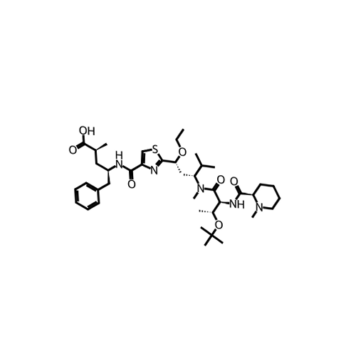 CCO[C@H](C[C@H](C(C)C)N(C)C(=O)[C@@H](NC(=O)[C@H]1CCCCN1C)[C@@H](C)OC(C)(C)C)c1nc(C(=O)N[C@@H](Cc2ccccc2)C[C@H](C)C(=O)O)cs1